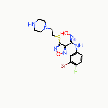 O/N=C(/Nc1ccc(F)c(Br)c1)c1nonc1SCCN1CCNCC1